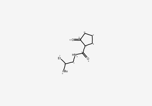 CCCCC(CC)CNC(=O)C1CCCC1=O